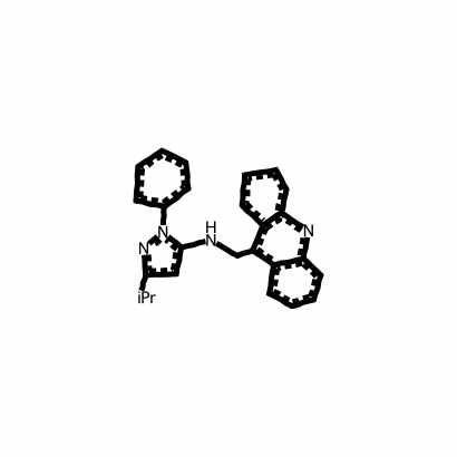 CC(C)c1cc(NCc2c3ccccc3nc3ccccc23)n(-c2ccccc2)n1